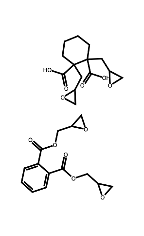 O=C(O)C1(CC2CO2)CCCCC1(CC1CO1)C(=O)O.O=C(OCC1CO1)c1ccccc1C(=O)OCC1CO1